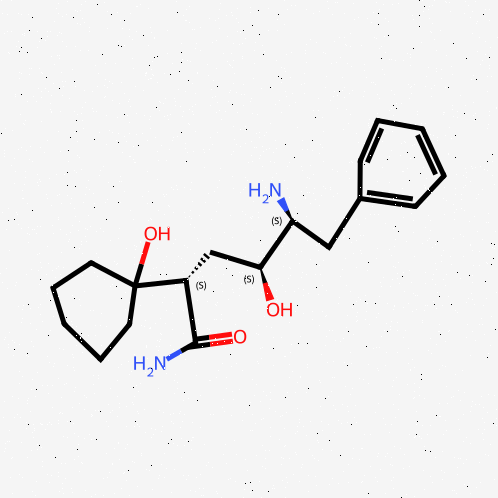 NC(=O)[C@@H](C[C@H](O)[C@@H](N)Cc1ccccc1)C1(O)CCCCC1